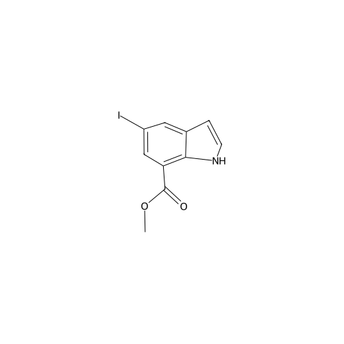 COC(=O)c1cc(I)cc2cc[nH]c12